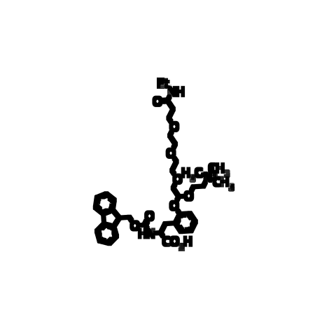 CCNC(=O)CCOCCOCCOCC(OCC[N+](C)(C)C)Oc1ccccc1CC(NC(=O)OCC1c2ccccc2-c2ccccc21)C(=O)O